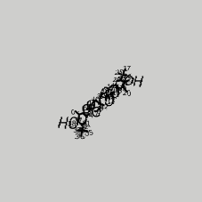 Cc1cc(CP2(=O)OCC3(CO2)COP(=O)(Cc2cc(C)c(O)c(C(C)(C)C)c2)OC3)cc(C(C)(C)C)c1O